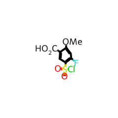 COc1cc(F)c(S(=O)(=O)Cl)cc1C(=O)O